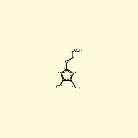 O=C(O)COc1nc(Cl)c(C(F)(F)F)s1